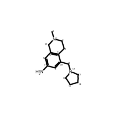 CN1CCc2c(cc(N)cc2CN2CCCC2)C1